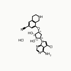 Cl.N#Cc1cc2c(c(O[C@H]3C[C@@H](n4cc(Cl)c5c(N)ncnc54)[C@H](O)[C@@H]3O)c1)CNCC2